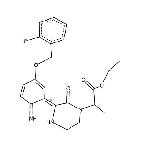 CCOC(=O)C(C)N1CCN/C(=C2/C=C(OCc3ccccc3F)C=CC2=N)C1=O